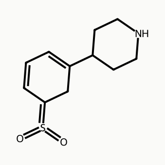 O=S(=O)=C1C=CC=C(C2CCNCC2)C1